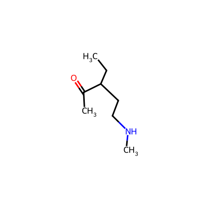 CCC(CCNC)C(C)=O